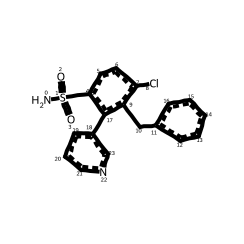 NS(=O)(=O)c1ccc(Cl)c(Cc2ccccc2)c1-c1cccnc1